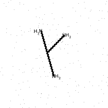 NCCCCCCCCCCCCCCCCCC[C](CCCCCCCCCCCCCCCCN)CCCCCCCCCCCCCCCCCN